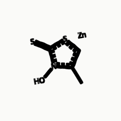 Cc1csc(=S)n1O.[Zn]